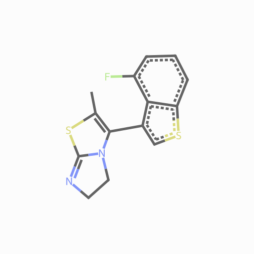 CC1=C(c2csc3cccc(F)c23)N2CCN=C2S1